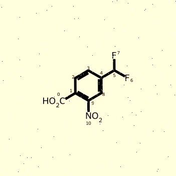 O=C(O)c1ccc(C(F)F)cc1[N+](=O)[O-]